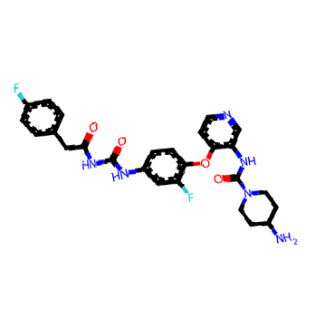 NC1CCN(C(=O)Nc2cnccc2Oc2ccc(NC(=O)NC(=O)Cc3ccc(F)cc3)cc2F)CC1